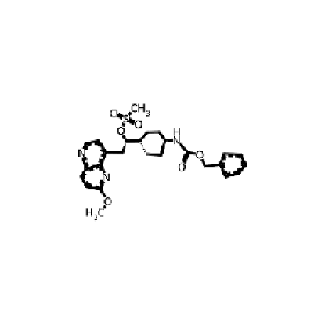 COc1ccc2nccc(C[C@@H](OS(C)(=O)=O)[C@H]3CC[C@H](NC(=O)OCc4ccccc4)CC3)c2n1